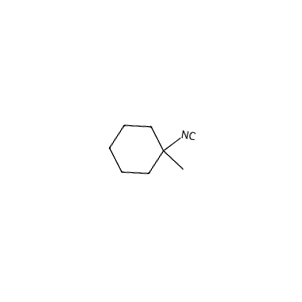 [C-]#[N+]C1(C)CCCCC1